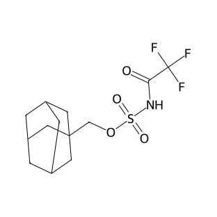 O=C(NS(=O)(=O)OCC12CC3CC(CC(C3)C1)C2)C(F)(F)F